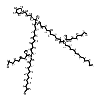 CCCCCCCCCCCCN(CCCCCCCCCCN(CCCCCCCCCCN(CCCCCCCCCCCC)C(=O)CCCCCCC)C(=O)OCCCN1CCCC1)C(=O)CCCCCCC